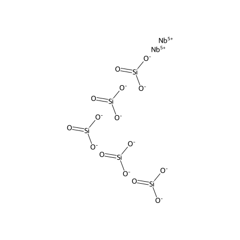 O=[Si]([O-])[O-].O=[Si]([O-])[O-].O=[Si]([O-])[O-].O=[Si]([O-])[O-].O=[Si]([O-])[O-].[Nb+5].[Nb+5]